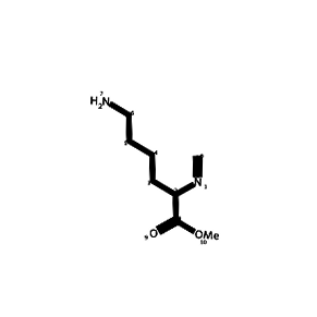 C=NC(CCCCN)C(=O)OC